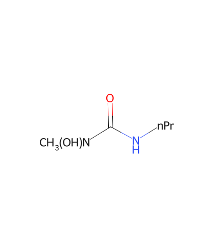 CCCNC(=O)N(C)O